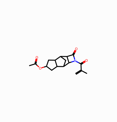 C=C(C)C(=O)N1C(=O)C2C3CC(C4CC(OC(C)=O)CC43)C21